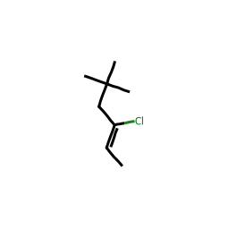 CC=C(Cl)CC(C)(C)C